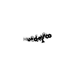 Cc1cc(OC(=O)C2CCNC2)cc(F)c1-c1cc2nc(C(=O)N3CCc4ccccc4[C@H]3C)cc(C3CC3)n2n1